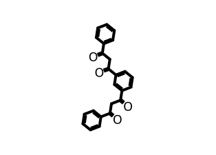 O=C(CC(=O)c1cccc(C(=O)CC(=O)c2ccccc2)c1)c1ccccc1